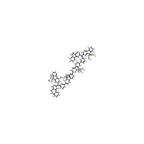 CC1(C)c2ccccc2-c2ccc(N(c3cccc(C4=CC=C5c6ccc(C7=CC=C8c9ccc(-c%10cccc(N(c%11ccc%12c(c%11)C(C)(C)c%11ccccc%11-%12)c%11ccc%12ccc%13ccccc%13c%12c%11)c%10)cc9C(C)(C)C8C7)cc6C(C)(C)C5C4)c3)c3ccc4ccc5ccccc5c4c3)cc21